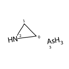 C1CN1.[AsH3]